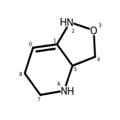 C1=C2NOCC2NCC1